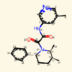 Cc1cncc(NC(=O)C(=O)N2[C@@H](c3ccccc3)CC[C@H](C)[C@@H]2C)c1